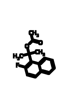 CC(=O)OC(C)(C)c1c(F)ccc2ccccc12